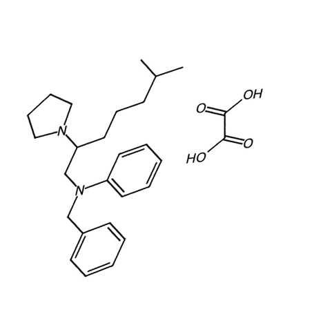 CC(C)CCCC(CN(Cc1ccccc1)c1ccccc1)N1CCCC1.O=C(O)C(=O)O